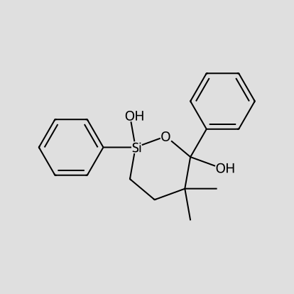 CC1(C)CC[Si](O)(c2ccccc2)OC1(O)c1ccccc1